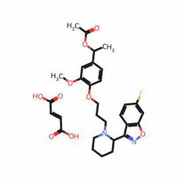 COc1cc(C(C)OC(C)=O)ccc1OCCCN1CCCCC1c1noc2cc(F)ccc12.O=C(O)C=CC(=O)O